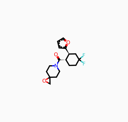 O=C([C@H]1CCC(F)(F)C[C@@H]1c1ccco1)N1CCC2(CC1)CO2